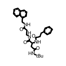 CC(C)(C)NC(=O)CC(NC(=O)CCc1ccccc1)C(=O)NCCC(=O)NCc1cccc2ccccc12